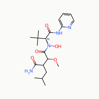 COC(C(=O)N(O)[C@H](C(=O)Nc1ccccn1)C(C)(C)C)C(CC(C)C)C(N)=O